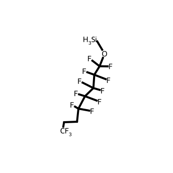 FC(F)(F)CCC(F)(F)C(F)(F)C(F)(F)C(F)(F)C(F)(F)O[SiH3]